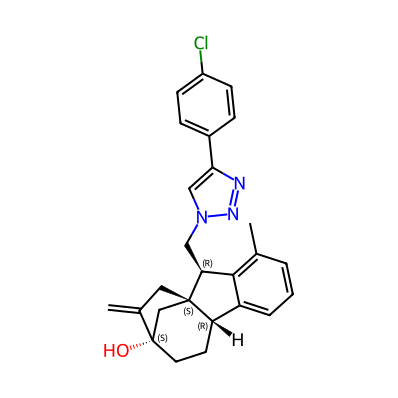 C=C1C[C@]23C[C@@]1(O)CC[C@H]2c1cccc(C)c1[C@@H]3Cn1cc(-c2ccc(Cl)cc2)nn1